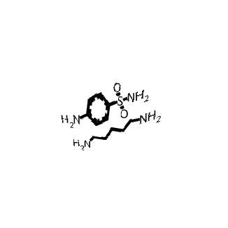 NCCCCCN.Nc1ccc(S(N)(=O)=O)cc1